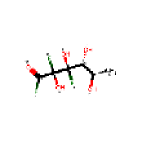 C[C@H](O)[C@@H](O)[C@](O)(F)[C@@](O)(F)C(=O)F